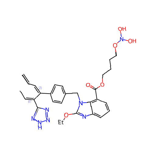 C=C/C=C(\C(=C/C)c1nn[nH]n1)c1ccc(Cn2c(OCC)nc3cccc(C(=O)OCCCCON(O)O)c32)cc1